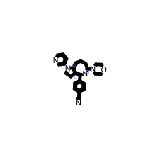 N#Cc1ccc(C2=C3\CCN(c4cccnc4)\C3=C\CC/C(N3CCOCC3)=N\2)cc1